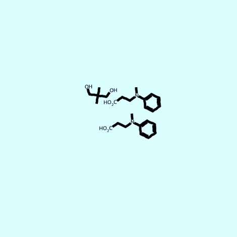 CC(C)(CO)CO.CN(CCC(=O)O)c1ccccc1.CN(CCC(=O)O)c1ccccc1